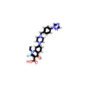 CCn1c(F)c(C(=O)O)c(=O)c2ccc(N3CCN(Cc4ccc(-n5cncn5)cc4)CC3)cc21